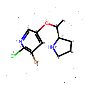 CC(Oc1cnc(Cl)c(Br)c1)[C@H]1CCCN1